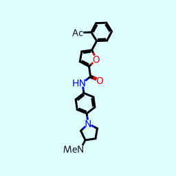 CNC1CCN(c2ccc(NC(=O)c3ccc(-c4ccccc4C(C)=O)o3)cc2)C1